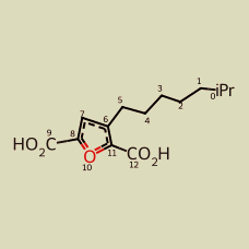 CC(C)CCCCCc1cc(C(=O)O)oc1C(=O)O